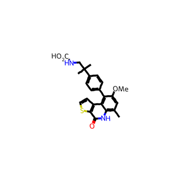 COc1cc(C)c2[nH]c(=O)c3sccc3c2c1-c1ccc(C(C)(C)CNC(=O)O)cc1